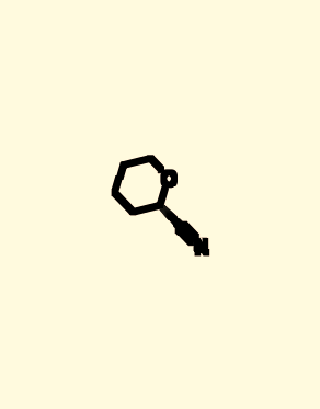 N#C[C@H]1CCCCO1